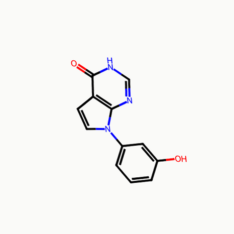 O=c1[nH]cnc2c1ccn2-c1cccc(O)c1